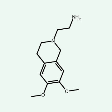 COc1cc2c(cc1OC)CN(CCN)CC2